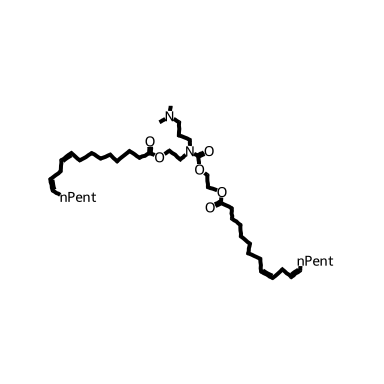 CCCCC/C=C\C/C=C\CCCCCCCC(=O)OCCOC(=O)N(CCCN(C)C)CCOC(=O)CCCCCCC/C=C\C/C=C\CCCCC